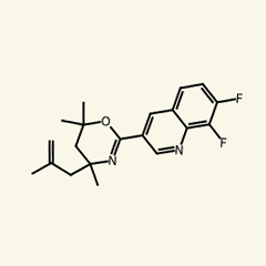 C=C(C)CC1(C)CC(C)(C)OC(c2cnc3c(F)c(F)ccc3c2)=N1